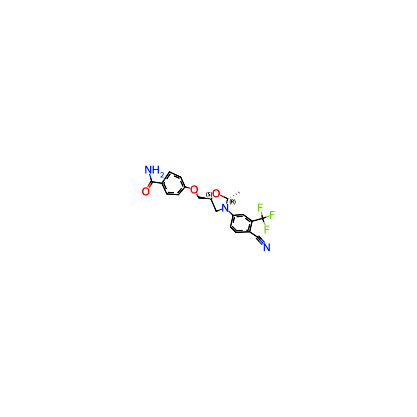 C[C@H]1O[C@H](COc2ccc(C(N)=O)cc2)CN1c1ccc(C#N)c(C(F)(F)F)c1